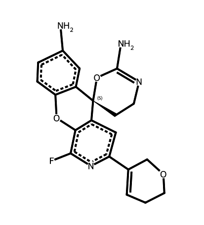 NC1=NCC[C@]2(O1)c1cc(N)ccc1Oc1c2cc(C2=CCCOC2)nc1F